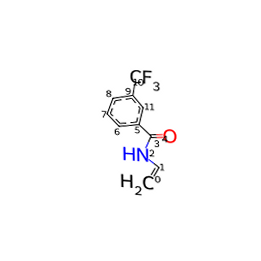 C=CNC(=O)c1cccc(C(F)(F)F)c1